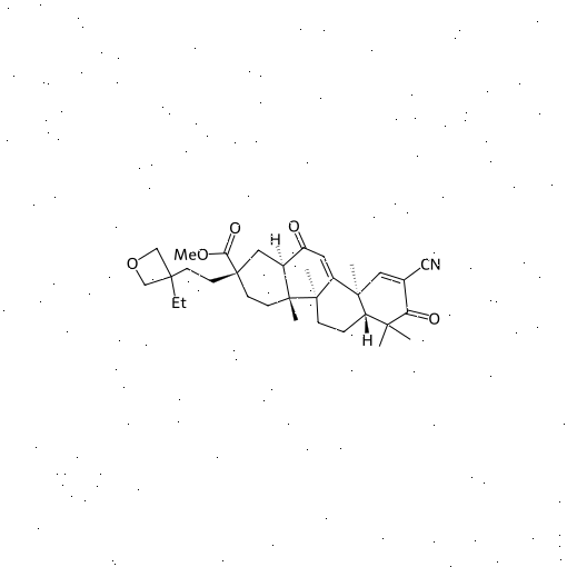 CCC1(CC[C@]2(C(=O)OC)CC[C@]3(C)[C@@H](C2)C(=O)C=C2[C@@]4(C)C=C(C#N)C(=O)C(C)(C)[C@@H]4CC[C@]23C)COC1